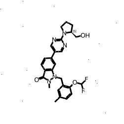 Cc1ccc(OC(F)F)c(Cn2c3cc(-c4cnc(N5CCC[C@H]5CO)nc4)ccc3c(=O)n2C)c1